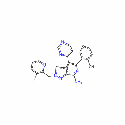 N#Cc1ccccc1-c1nc(N)c2nn(Cc3ncccc3F)cc2c1-c1ccncn1